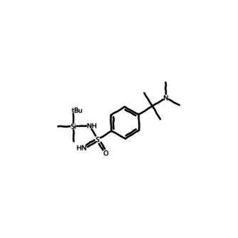 CN(C)C(C)(C)c1ccc(S(=N)(=O)N[Si](C)(C)C(C)(C)C)cc1